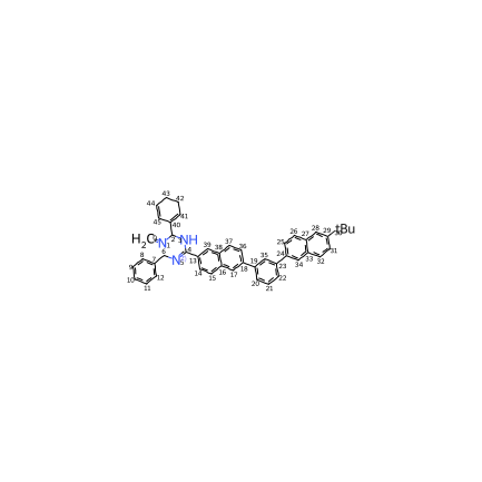 C=NC(N/C(=N\Cc1ccccc1)c1ccc2cc(-c3cccc(-c4ccc5cc(C(C)(C)C)ccc5c4)c3)ccc2c1)C1=CCCC=C1